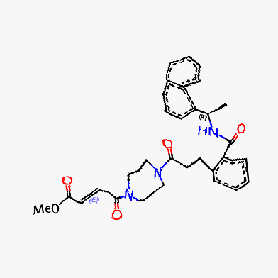 COC(=O)/C=C/C(=O)N1CCN(C(=O)CCc2ccccc2C(=O)N[C@H](C)c2cccc3ccccc23)CC1